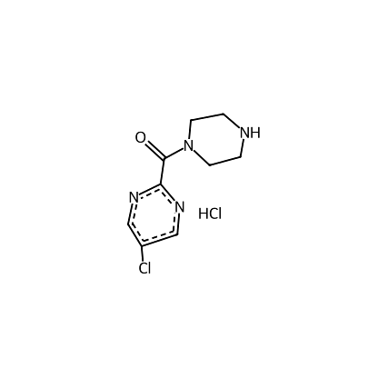 Cl.O=C(c1ncc(Cl)cn1)N1CCNCC1